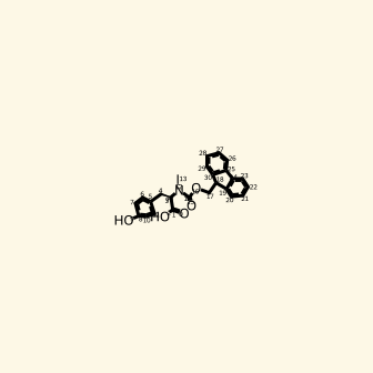 O=C(O)[C@@H](Cc1ccc(O)cc1)N(I)C(=O)OCC1c2ccccc2-c2ccccc21